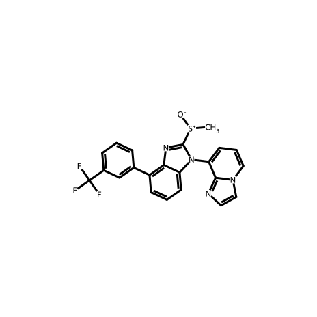 C[S+]([O-])c1nc2c(-c3cccc(C(F)(F)F)c3)cccc2n1-c1cccn2ccnc12